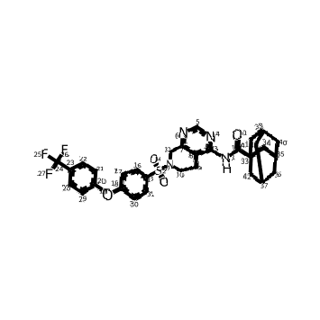 O=C(Nc1ncnc2c1CCN(S(=O)(=O)c1ccc(Oc3ccc(C(F)(F)F)cc3)cc1)C2)C12CC3CC(CC(C3)C1)C2